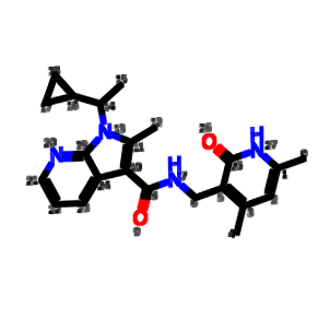 Cc1cc(C)c(CNC(=O)c2c(C)n(C(C)C3CC3)c3ncccc23)c(=O)[nH]1